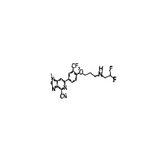 Cn1cnc2c(C#N)nc(-c3ccc(OCCCNCC(F)F)c(C(F)(F)F)c3)cc21